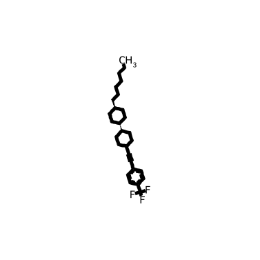 CCCCCCC[C@H]1CC[C@H](C2CCC(C#Cc3ccc(C(F)(F)F)cc3)CC2)CC1